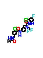 CC(C)C(=O)NCc1ccc(Cl)c(C(=O)Nc2ccc3c(c2)cc(C(=O)Nc2ccc(F)cc2Cl)n3CC(F)F)c1